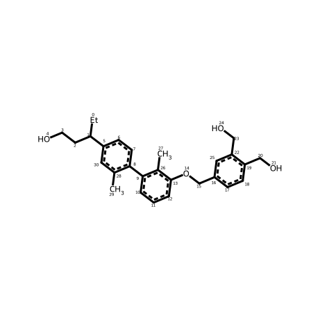 CCC(CCO)c1ccc(-c2cccc(OCc3ccc(CO)c(CO)c3)c2C)c(C)c1